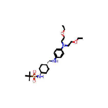 CCOCCN(CCOCC)c1ccc(NC[C@H]2CC[C@H](NS(=O)(=O)C(C)(C)C)CC2)cc1